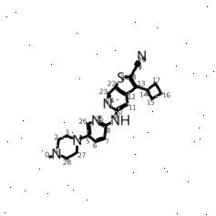 CN1CCN(c2ccc(Nc3cc4c(C5CCC5)c(C#N)sc4cn3)nc2)CC1